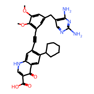 COc1cc(Cc2cnc(N)nc2N)cc(C#Cc2cc3[nH]cc(C(=O)O)c(=O)c3cc2C2CCCCC2)c1OC